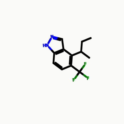 CCC(C)c1c(C(F)(F)F)ccc2[nH]ncc12